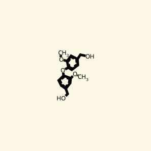 COc1cc(CO)ccc1Oc1ccc(CO)cc1OC